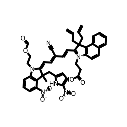 C=CCC1(CC=C)C(/C=C/C(C#N)=C/C=C2/N(CCOC=O)c3cccc([N+](=O)[O-])c3C2(C)Cc2ccc([N+](=O)[O-])[nH]2)=[N+](CCC(=O)O)c2ccc3ccccc3c21